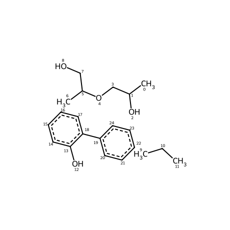 CC(O)COC(C)CO.CCC.Oc1ccccc1-c1ccccc1